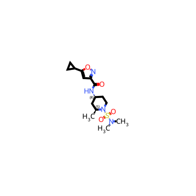 C[C@H]1C[C@H](NC(=O)c2cc(C3CC3)on2)CCN1S(=O)(=O)N(C)C